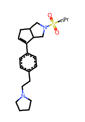 CCCS(=O)(=O)N1CC2CC=C(c3ccc(CCN4CCCC4)cc3)C2C1